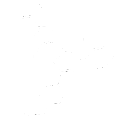 COC(=O)c1ccc(-c2nc(-c3ccccc3O)nc(-c3ccc(C(=O)OC)cc3O)n2)cc1